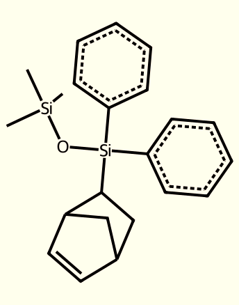 C[Si](C)(C)O[Si](c1ccccc1)(c1ccccc1)C1CC2C=CC1C2